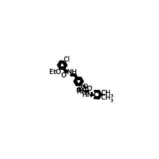 CCOc1ccc(Cl)cc1C(=O)NCCc1ccc(S(=O)(=O)NC(=O)NN2CCC(C)(C)CC2)cc1